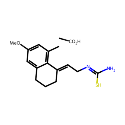 CC(=O)O.COc1cc(C)c2c(c1)CCCC2=CCN=C(N)S